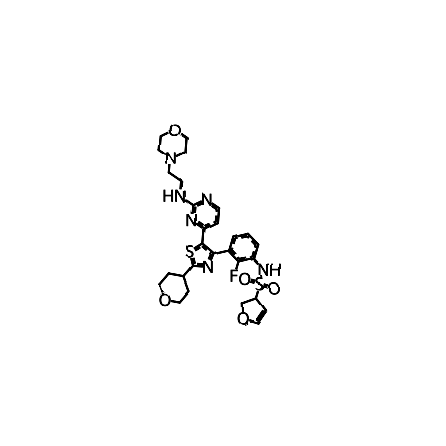 O=S(=O)(Nc1cccc(-c2nc(C3CCOCC3)sc2-c2ccnc(NCCN3CCOCC3)n2)c1F)C1C=COC1